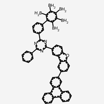 Bc1c(B)c(B)c(-c2cccc(-c3nc(-c4ccccc4)nc(-c4ccc5oc6ccc(-c7ccc8c9ccccc9c9ccccc9c8c7)cc6c5c4)n3)c2)c(B)c1B